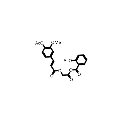 COc1cc(C=CC(=O)OCC(=O)OC(=O)c2ccccc2OC(C)=O)ccc1OC(C)=O